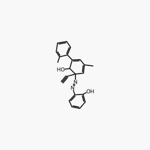 C#CC1(N=Nc2ccccc2O)C=C(C)C=C(c2ccccc2C)C1O